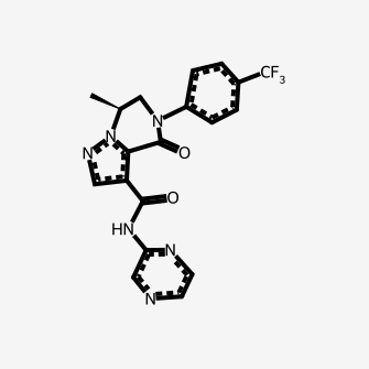 C[C@H]1CN(c2ccc(C(F)(F)F)cc2)C(=O)c2c(C(=O)Nc3cnccn3)cnn21